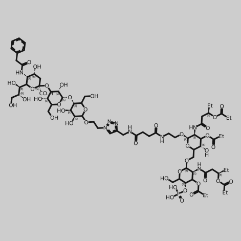 CCC(=O)OC1[C@H](O)C(CO[C@@H]2OC(CO)[C@@H](OP(=O)(O)O)C(OC(=O)CC)[C@@H]2NC(=O)C[C@@H](CC)OC(=O)CC)O[C@@H](OCCNC(=O)CCC(=O)NCc2cn(CCOC3OC(CO)[C@@H](O[C@@H]4OC(CO)[C@H](O)C(O[C@]5(C(=O)O)C[C@@H](O)[C@@H](NC(=O)Cc6ccccc6)C([C@H](O)[C@H](O)CO)O5)[C@@H]4O)[C@H](O)[C@@H]3O)nn2)[C@H]1NC(=O)C[C@@H](CC)OC(=O)CC